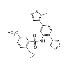 Cc1ccc(-c2ccc(-c3cnsc3C)cc2NS(=O)(=O)c2cc(C(=O)O)ccc2C2CC2)s1